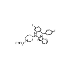 CCOC(=O)N1CCCC(Nc2nc3ccccc3n2C(c2ccc(F)cc2)c2ccc(F)cc2)CC1